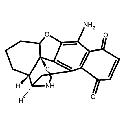 Nc1c2c3c(c4c1C(=O)C=CC4=O)C[C@H]1NCC[C@@]34C(CCC[C@@H]14)O2